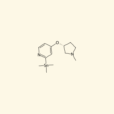 CN1CC[C@@H](Oc2ccn[c]([Sn]([CH3])([CH3])[CH3])c2)C1